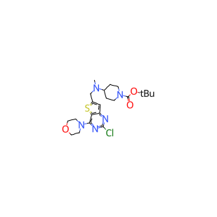 CN(Cc1cc2nc(Cl)nc(N3CCOCC3)c2s1)C1CCN(C(=O)OC(C)(C)C)CC1